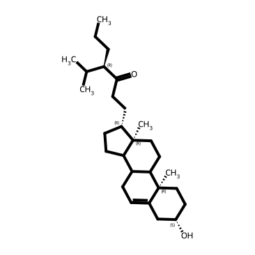 CCC[C@@H](C(=O)CC[C@H]1CCC2C3CC=C4C[C@@H](O)CC[C@]4(C)C3CC[C@@]21C)C(C)C